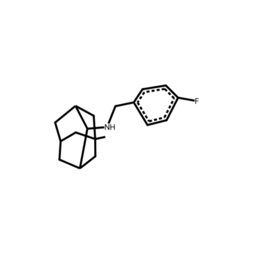 CC12CC3CC(C1)C(NCc1ccc(F)cc1)C(C3)C2